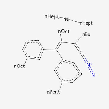 CCCCCCCCC(C(=C=[N+]=[N-])CCCC)=C(c1cccc(CCCCC)c1)c1cccc(CCCCCCCC)c1.CCCCCC[CH2][Ni][CH2]CCCCCC